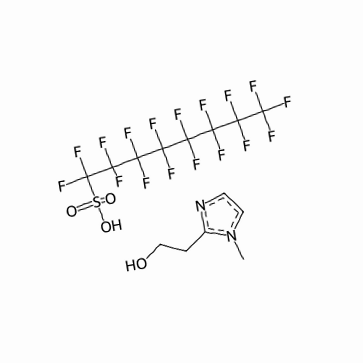 Cn1ccnc1CCO.O=S(=O)(O)C(F)(F)C(F)(F)C(F)(F)C(F)(F)C(F)(F)C(F)(F)C(F)(F)C(F)(F)F